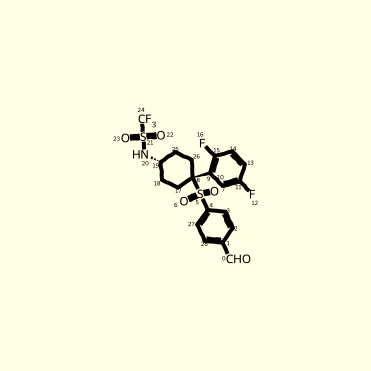 O=Cc1ccc(S(=O)(=O)[C@]2(c3cc(F)ccc3F)CC[C@H](NS(=O)(=O)C(F)(F)F)CC2)cc1